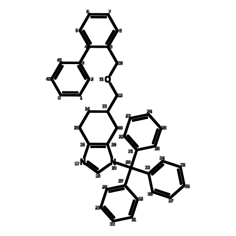 c1ccc(-c2ccccc2COCC2CCc3ncn(C(c4ccccc4)(c4ccccc4)c4ccccc4)c3C2)cc1